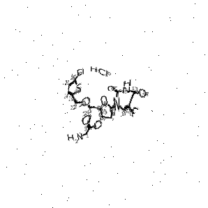 Cl.NCC(=O)O[C@H]1C[C@H](n2cc(F)c(=O)[nH]c2=O)O[C@@H]1COCc1ccc(Cl)s1